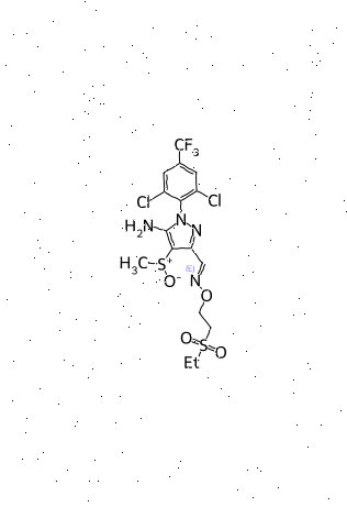 CCS(=O)(=O)CCO/N=C/c1nn(-c2c(Cl)cc(C(F)(F)F)cc2Cl)c(N)c1[S+](C)[O-]